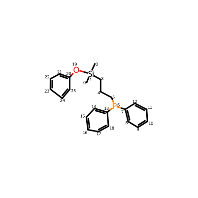 C[Si](C)(CCCP(c1ccccc1)c1ccccc1)Oc1ccccc1